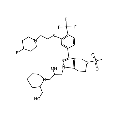 CS(=O)(=O)N1CCc2c(c(-c3ccc(C(F)(F)F)c(SCCN4CCC(F)CC4)c3)nn2CC(O)CN2CCCCC2CO)C1